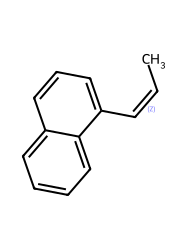 C/C=C\c1cccc2ccccc12